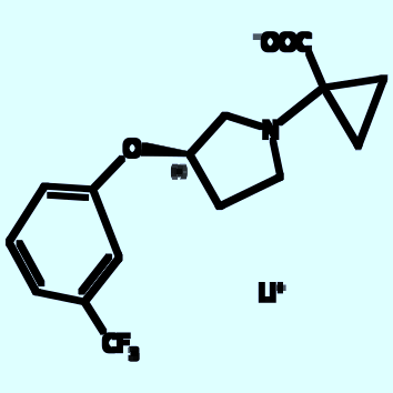 O=C([O-])C1(N2CC[C@@H](Oc3cccc(C(F)(F)F)c3)C2)CC1.[Li+]